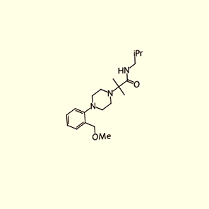 COCc1ccccc1N1CCN(C(C)(C)C(=O)NCC(C)C)CC1